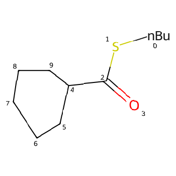 CCCCSC(=O)C1CCCCC1